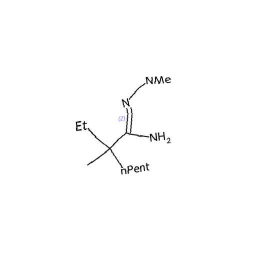 CCCCCC(C)(CC)/C(N)=N/NC